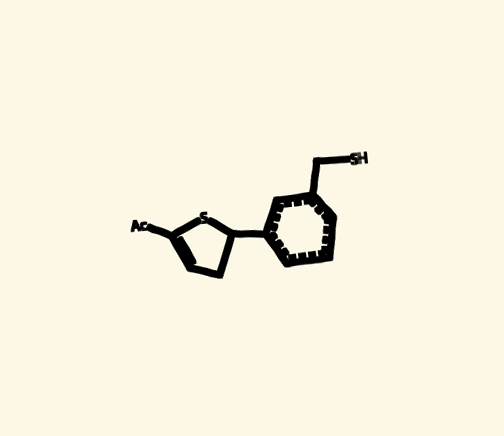 CC(=O)C1=CCC(c2cccc(CS)c2)S1